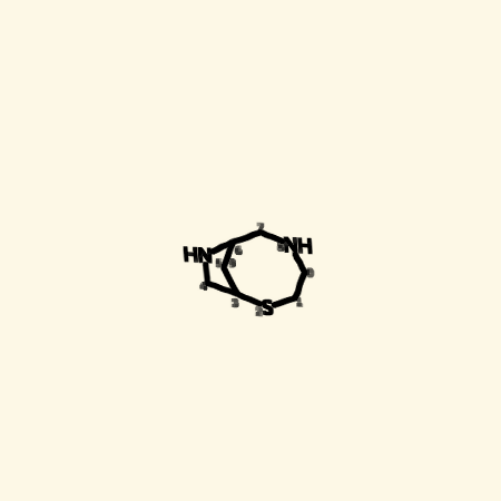 C1CSC2CNC(CN1)C2